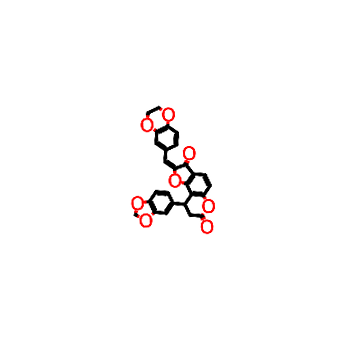 O=C1CC(c2ccc3c(c2)OCO3)c2c(ccc3c2OC(=Cc2ccc4c(c2)OCCO4)C3=O)O1